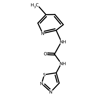 Cc1ccc(NC(=O)Nc2cnns2)nc1